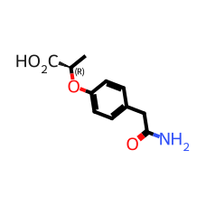 C[C@@H](Oc1ccc(CC(N)=O)cc1)C(=O)O